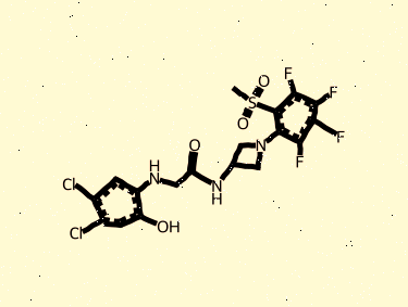 CS(=O)(=O)c1c(F)c(F)c(F)c(F)c1N1CC(NC(=O)CNc2cc(Cl)c(Cl)cc2O)C1